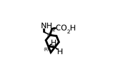 NC[C@@]1(CC(=O)O)CC[C@@H]2C[C@@H]2C1